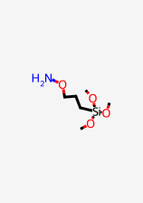 CO[Si](CCCON)(OC)OC